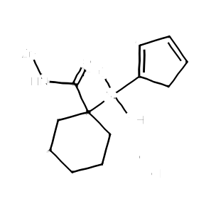 C[Si](C)(C1=CC=CC1)C1(C(=O)[NH][Zr+2])CCCCC1.[Cl-].[Cl-]